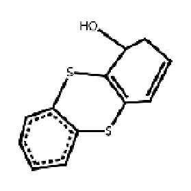 OC1CC=CC2=C1Sc1ccccc1S2